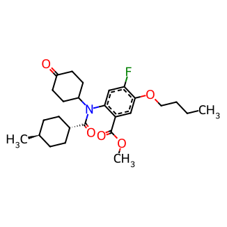 CCCCOc1cc(C(=O)OC)c(N(C(=O)[C@H]2CC[C@H](C)CC2)C2CCC(=O)CC2)cc1F